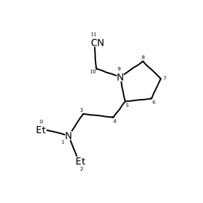 CCN(CC)CCC1CCCN1CC#N